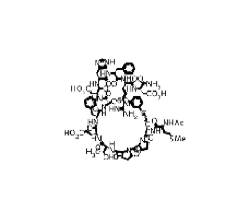 CSCCC(NC(C)=O)C(=O)N[C@H]1CSCc2cccc(c2)CSC[C@@H](C(=O)N[C@@H](CC(=O)O)C(=O)N[C@@H](Cc2c[nH]cn2)C(=O)N[C@@H](Cc2ccccc2)C(=O)N[C@H](CCCNC(=N)N)C(=O)N[C@@H](CC(=O)O)C(N)=O)NC(=O)[C@H](Cc2ccccc2)NC(=O)[C@H](CCC(=O)O)NC(=O)[C@H]([C@@H](C)O)NC(=O)[C@@H]2CCCN2C(=O)[C@@H]2CCCN2C1=O